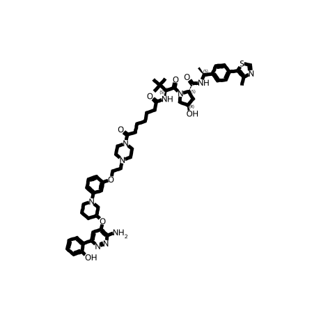 Cc1ncsc1-c1ccc([C@H](C)NC(=O)[C@@H]2C[C@@H](O)CN2C(=O)[C@@H](NC(=O)CCCCCC(=O)N2CCN(CCOc3cccc(N4CCCC(Oc5cc(-c6ccccc6O)nnc5N)C4)c3)CC2)C(C)(C)C)cc1